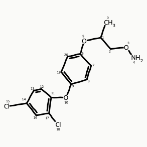 CC(CON)Oc1ccc(Oc2ccc(Cl)cc2Cl)cc1